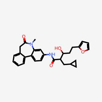 CN1C(=O)Cc2ccccc2-c2ccc(NC(=O)C(CC3CC3)C(O)CCc3ccco3)cc21